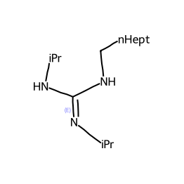 CCCCCCCCN/C(=N\C(C)C)NC(C)C